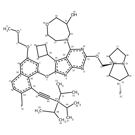 COCOc1cc(Oc2nc3nc(OC[C@@]45CCCN4C[C@H](F)C5)nc(N4CCOCC(O)C4)c3n2C2CCC2)c2c(C#C[Si](C(C)C)(C(C)C)C(C)C)c(F)ccc2c1